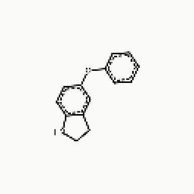 c1ccc(Oc2ccc3c(c2)CCN3)cc1